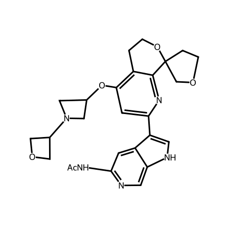 CC(=O)Nc1cc2c(-c3cc(OC4CN(C5COC5)C4)c4c(n3)C3(CCOC3)OCC4)c[nH]c2cn1